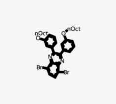 CCCCCCCCOc1cccc(-c2nc3c(Br)ccc(Br)c3nc2-c2cccc(OCCCCCCCC)c2)c1